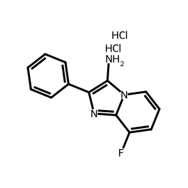 Cl.Cl.Nc1c(-c2ccccc2)nc2c(F)cccn12